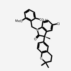 COc1cccc(C(=O)O)c1CN1C(=O)[C@@](C)(c2ccc3c(c2)CCC(C)(C)O3)c2cc(Cl)ccc21